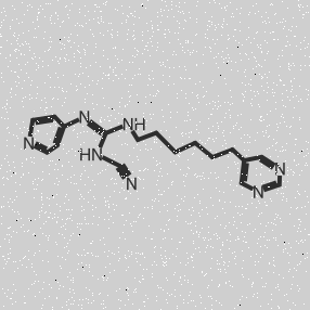 N#CNC(=Nc1ccncc1)NCCCCCCc1cncnc1